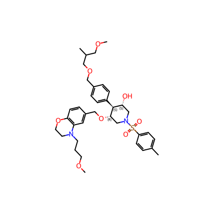 COCCCN1CCOc2ccc(CO[C@H]3CN(S(=O)(=O)c4ccc(C)cc4)C[C@@H](O)[C@@H]3c3ccc(COCC(C)COC)cc3)cc21